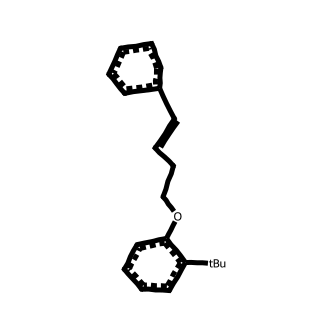 CC(C)(C)c1ccccc1OCC/C=C/c1ccccc1